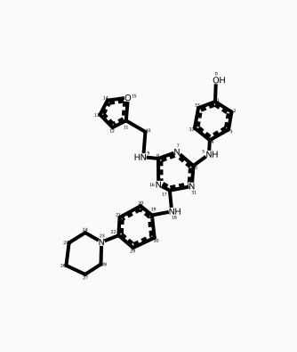 Oc1ccc(Nc2nc(NCc3ccco3)nc(Nc3ccc(N4CCCCC4)cc3)n2)cc1